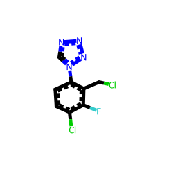 Fc1c(Cl)ccc(-n2cnnn2)c1CCl